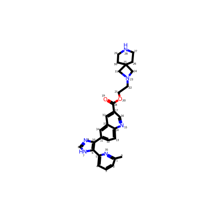 Cc1cccc(-c2[nH]cnc2-c2ccc3ncc(C(=O)OCCN4CC5(CCNCC5)C4)cc3c2)n1